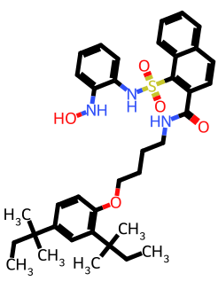 CCC(C)(C)c1ccc(OCCCCNC(=O)c2ccc3ccccc3c2S(=O)(=O)Nc2ccccc2NO)c(C(C)(C)CC)c1